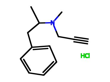 C#CCN(C)C(C)Cc1ccccc1.Cl